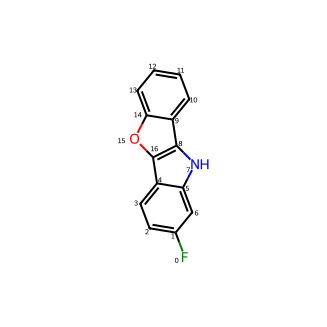 Fc1ccc2c(c1)[nH]c1c3ccccc3oc21